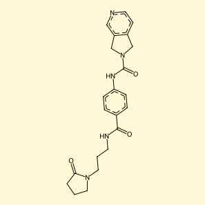 O=C(NCCCN1CCCC1=O)c1ccc(NC(=O)N2Cc3ccncc3C2)cc1